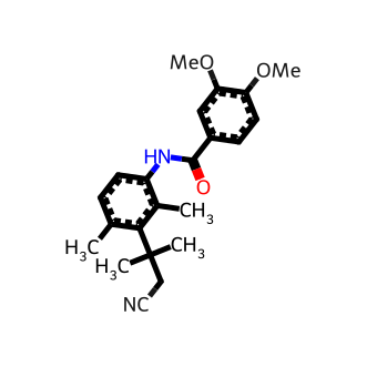 COc1ccc(C(=O)Nc2ccc(C)c(C(C)(C)CC#N)c2C)cc1OC